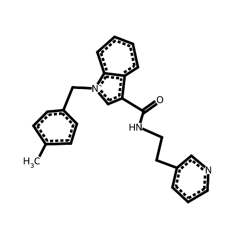 Cc1ccc(Cn2cc(C(=O)NCCc3cccnc3)c3ccccc32)cc1